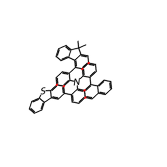 CC1(C)c2ccccc2-c2c(-c3ccccc3N(c3ccccc3-c3ccc4sc5ccccc5c4c3)c3ccccc3-c3cccc4ccccc34)cccc21